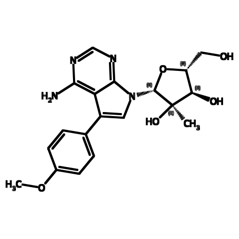 COc1ccc(-c2cn([C@@H]3O[C@H](CO)[C@@H](O)[C@@]3(C)O)c3ncnc(N)c23)cc1